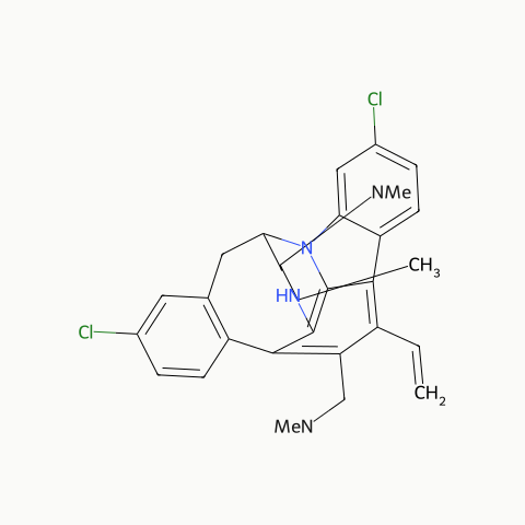 C=Cc1c(CNC)c2c3c4c1c1ccc(Cl)cc1n4C(Cc1cc(Cl)ccc1-2)CC(NC)C(C)N3